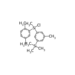 Cc1cc([Si](C)(C)C)cc([Si](C)(Cl)c2cc(C)ccc2C)c1